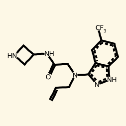 C=CCN(CC(=O)NC1CNC1)c1n[nH]c2ccc(C(F)(F)F)cc12